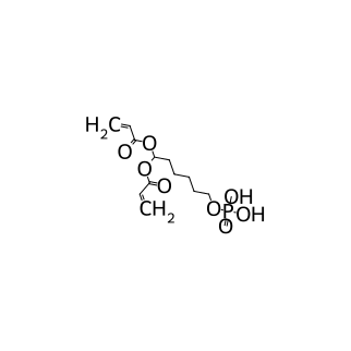 C=CC(=O)OC(CCCCCOP(=O)(O)O)OC(=O)C=C